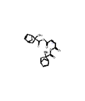 CC(C)(C)C1(C(=O)OC(=O)/C=C\C(=O)OC(=O)C2(C(C)(C)C)CC3C=CC2C3)CC2C=CC1C2